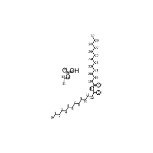 CCCCCCCCCCCCCC(=O)OC(=O)CCCCCCCCCCCCC.CCOC(=O)O